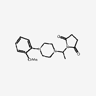 COc1ccccc1N1CCN(C(C)N2C(=O)CCC2=O)CC1